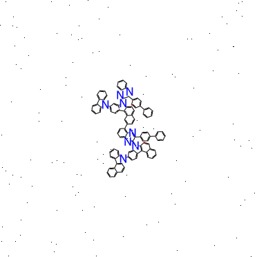 c1ccc(-c2ccc(-c3nc4ccccc4nc3-n3c4cc(-n5c6ccccc6c6ccccc65)ccc4c4c5cc(-c6cccc7nc(-n8c9cc(-n%10c%11ccccc%11c%11c%12ccccc%12ccc%11%10)ccc9c9c%10ccccc%10ccc98)c(-c8ccc(-c9ccccc9)cc8)nc67)ccc5ccc43)cc2)cc1